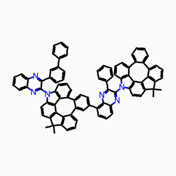 CC1(C)c2cccc3c4cc(-c5cccc6nc(-n7c8cccc9c%10ccccc%10c%10cccc%11c%10c%10c(ccc7c%10c98)C%11(C)C)c(-c7ccccc7)nc56)ccc4c4cccc5c4c4c(c1ccc4n5-c1nc4ccccc4nc1-c1cccc(-c4ccccc4)c1)c23